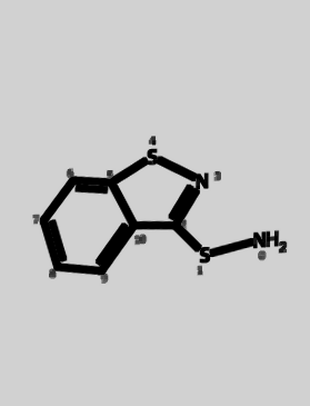 NSc1nsc2ccccc12